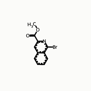 COC(=O)c1cc2ccccc2c(Br)n1